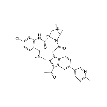 CC(=O)c1nn(CC(=O)N2C3C[C@]3(C)C[C@H]2C(=O)Nc2nc(Cl)ccc2CN(C)C)c2ccc(-c3cnc(C)nc3)cc12